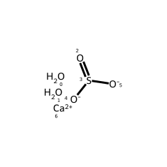 O.O.O=S([O-])[O-].[Ca+2]